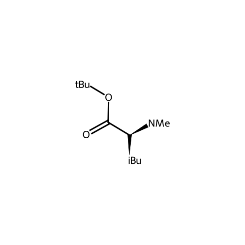 CC[C@H](C)[C@H](NC)C(=O)OC(C)(C)C